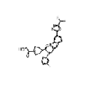 O=C(CO)N1CCC(C(=O)N(Cc2cn3ccc(-c4nnc(C(F)F)o4)cc3n2)c2cccc(F)c2)CC1